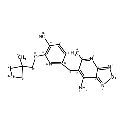 Cc1nc2nonc2c(N)c1Cc1ccc(C#N)c(OCC2(C)COC2)n1